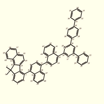 CC1(C)c2cccc(-c3ccc(-c4ccc(-c5nc(-c6ccccc6)cc(-c6ccc(-c7ccccc7)cc6)n5)c5ccccc45)c4ccccc34)c2-c2ccc3ccccc3c21